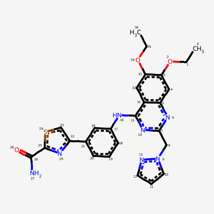 CCOc1cc2nc(Cn3cccn3)nc(Nc3cccc(-c4csc(C(N)=O)n4)c3)c2cc1OCC